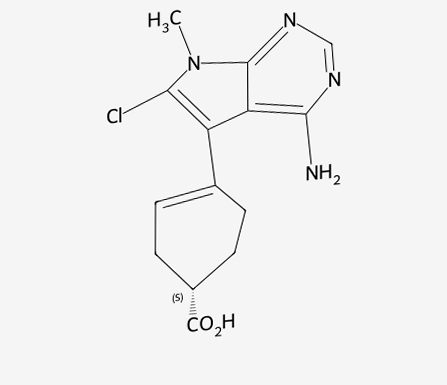 Cn1c(Cl)c(C2=CC[C@@H](C(=O)O)CC2)c2c(N)ncnc21